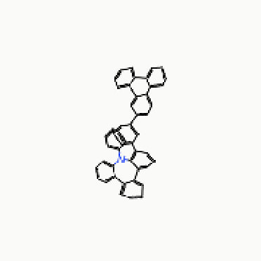 c1ccc(N2c3ccccc3-c3ccccc3-c3cccc(-c4cccc(-c5ccc6c7ccccc7c7ccccc7c6c5)c4)c32)cc1